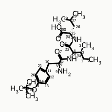 CC[C@H](C)[C@H](NC(=O)[C@@H](N)Cc1ccc(OC(C)(C)C)cc1)C(=O)N[C@@H](CC(C)C)C(=O)O